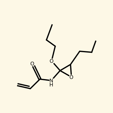 C=CC(=O)NC1(OCCC)OC1CCC